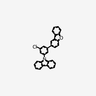 Clc1cc(-c2ccc3oc4ccccc4c3c2)cc(-n2c3ccccc3c3ccccc32)c1